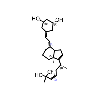 C[C@H](C/C=C\C(C)(O)C(F)(F)F)C1=CCC2/C(=C/C=C3C[C@@H](O)C[C@H](O)C3)CCC[C@]12C